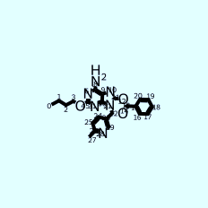 CCCCOc1nc(N)c2nc(OC(=O)c3ccccc3)n(Cc3ccc(C)nc3)c2n1